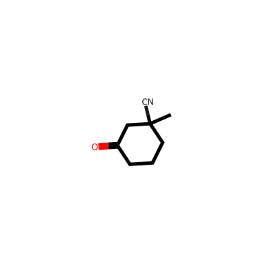 CC1(C#N)CCCC(=O)C1